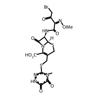 CO/N=C(/C(=O)CBr)C(=O)N[C@@H]1C(=O)N2C(C(=O)O)=C(CSc3n[nH]c(=O)c(=O)n3C)CS[C@H]12